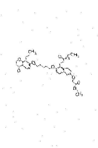 CCCc1c(OCCCCCOc2ccc3cc(OCC(=O)OCC)ccc3c2CCC(=O)OCC)ccc2c1OCCC2=O